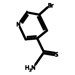 NC(=S)c1cn[c]c(Br)c1